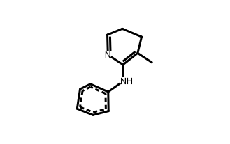 CC1=C(Nc2ccccc2)N=CCC1